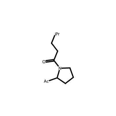 CC(=O)C1CCCN1C(=O)CCC(C)C